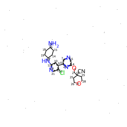 N#CC1(COc2cncc(-c3cc(N[C@H]4CC[C@H](N)CC4)ncc3Cl)n2)CCOCC1